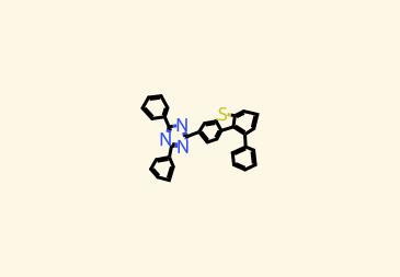 c1ccc(-c2nc(-c3ccccc3)nc(-c3ccc4c(c3)sc3cccc(-c5ccccc5)c34)n2)cc1